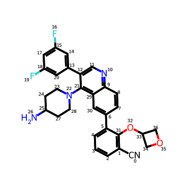 N#Cc1cccc(-c2ccc3ncc(-c4cc(F)cc(F)c4)c(N4CCC(N)CC4)c3c2)c1OC1COC1